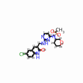 CS(=O)(=O)N(c1ccnc(NCc2cc3cc(Cl)ccc3[nH]c2=O)n1)C1CCCOC1